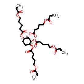 C=CC(=O)OCCCCC(=O)OC1CC[C@@H](OC(=O)CCCCOC(=O)C=C)[C@H](OC(=O)CCCCOC(=O)C=C)[C@H]1OC(=O)CCCCOC(=O)C=C